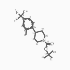 Cc1cc(C(F)(F)F)ccc1C1CCN(C(=O)OC(C)(C)C)CC1